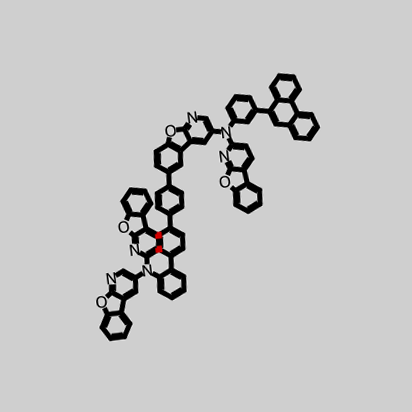 c1cc(-c2cc3ccccc3c3ccccc23)cc(N(c2cnc3oc4ccc(-c5ccc(-c6ccc(-c7ccccc7N(c7cnc8oc9ccccc9c8c7)c7ccc8c(n7)oc7ccccc78)cc6)cc5)cc4c3c2)c2ccc3c(n2)oc2ccccc23)c1